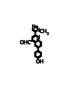 Cn1cncc1-c1cc(C=O)c2cc(-c3ccc(O)cc3)ccc2n1